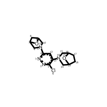 Clc1nnc(N2CC3CC(C2)O3)cc1N1CC2CCC(C1)O2